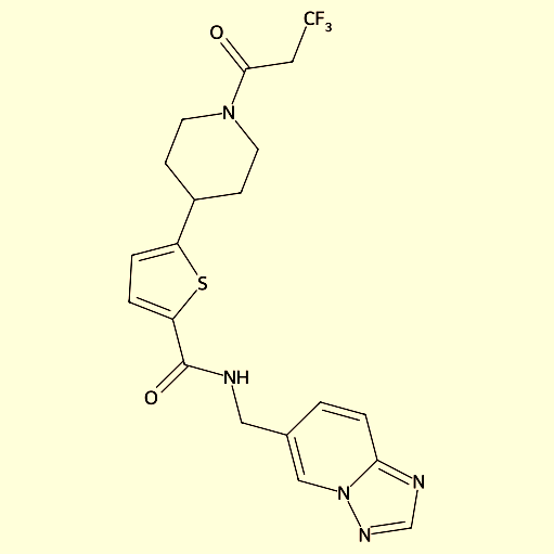 O=C(NCc1ccc2ncnn2c1)c1ccc(C2CCN(C(=O)CC(F)(F)F)CC2)s1